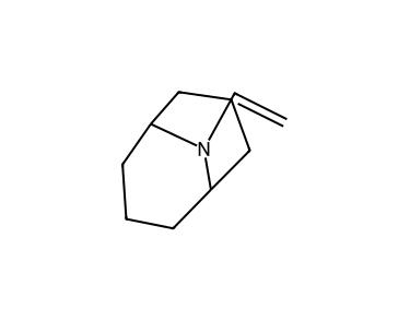 C=CN1C2CCCC1CCC2